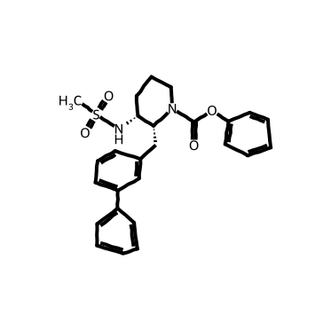 CS(=O)(=O)N[C@@H]1CCCN(C(=O)Oc2ccccc2)[C@@H]1Cc1cccc(-c2ccccc2)c1